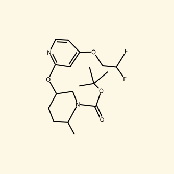 CC1CCC(Oc2cc(OCC(F)F)ccn2)CN1C(=O)OC(C)(C)C